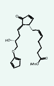 COC(=O)CCC/C=C\C[C@H]1C=CC(=O)/C1=C/C[C@@H](O)COC1=CCC=C1